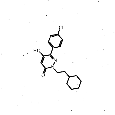 O=c1cc(O)c(-c2ccc(Cl)cc2)nn1CCC1CCCCC1